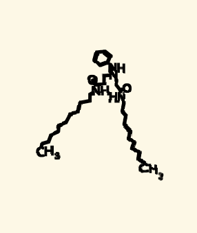 CCCCCCCCCCCCNC(=O)CCN(CCC(=O)NCCCCCCCCCCCC)Nc1ccccc1